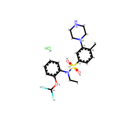 CCN(c1ccccc1OC(F)F)S(=O)(=O)c1ccc(C)c(N2CCNCC2)c1.Cl